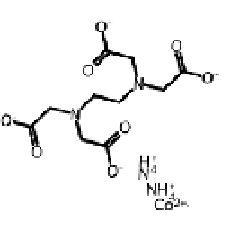 O=C([O-])CN(CCN(CC(=O)[O-])CC(=O)[O-])CC(=O)[O-].[Co+2].[NH4+].[NH4+]